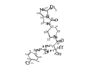 CCC(O)(CC)C(NC(=O)Nc1ccc(Cl)cc1)C(=O)N1CCC(N2Cc3cnc(C)n3C2=O)CC1